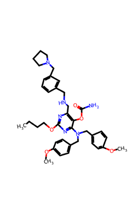 CCCCOc1nc(CNCc2cccc(CN3CCCC3)c2)c(OC(N)=O)c(N(Cc2ccc(OC)cc2)Cc2ccc(OC)cc2)n1